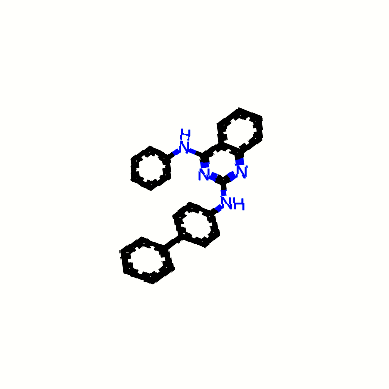 c1ccc(Nc2nc(Nc3ccc(-c4ccccc4)cc3)nc3ccccc23)cc1